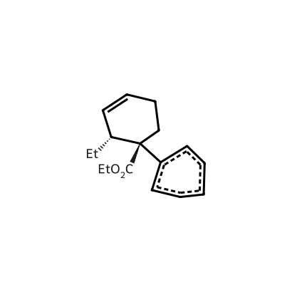 CCOC(=O)[C@]1(c2ccccc2)CCC=C[C@H]1CC